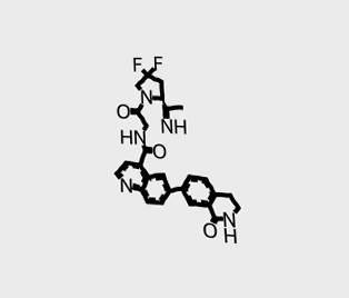 CC(=N)[C@@H]1CC(F)(F)CN1C(=O)CNC(=O)c1ccnc2ccc(-c3ccc4c(c3)C(=O)NCC4)cc12